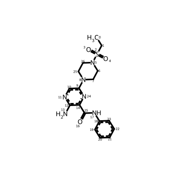 CCS(=O)(=O)N1CCN(c2cnc(N)c(C(=O)Nc3ccccc3)n2)CC1